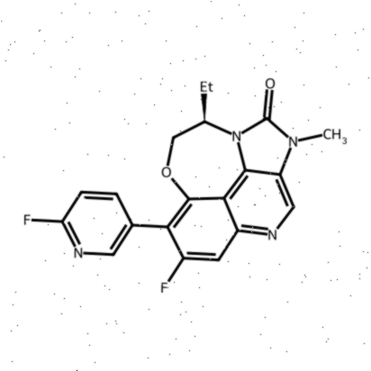 CC[C@@H]1COc2c(-c3ccc(F)nc3)c(F)cc3ncc4c(c23)n1c(=O)n4C